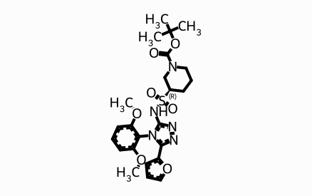 COc1cccc(OC)c1-n1c(NS(=O)(=O)[C@@H]2CCCN(C(=O)OC(C)(C)C)C2)nnc1-c1ccco1